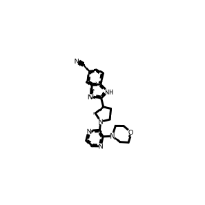 N#Cc1ccc2[nH]c(C3CCN(c4nccnc4N4CCOCC4)C3)nc2c1